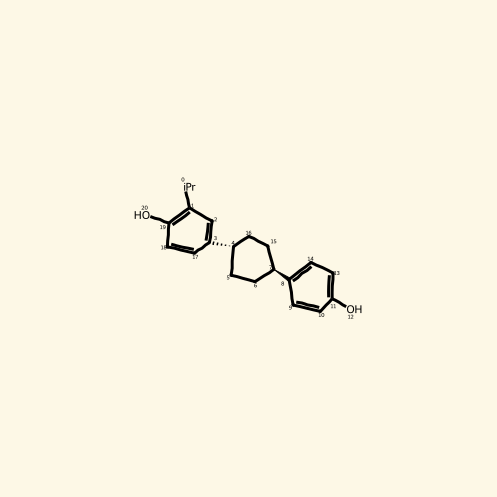 CC(C)c1cc([C@H]2CC[C@H](c3ccc(O)cc3)CC2)ccc1O